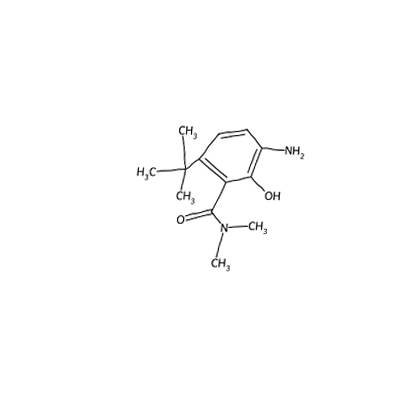 CN(C)C(=O)c1c(C(C)(C)C)ccc(N)c1O